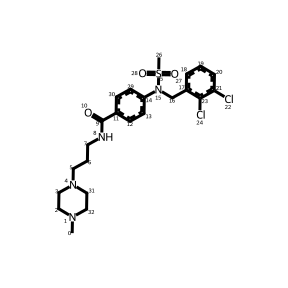 CN1CCN(CCCNC(=O)c2ccc(N(Cc3cccc(Cl)c3Cl)S(C)(=O)=O)cc2)CC1